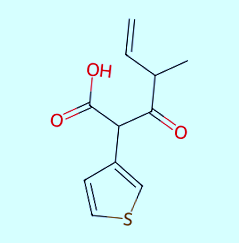 C=CC(C)C(=O)C(C(=O)O)c1ccsc1